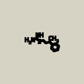 CC(CCSC(=N)N)c1ccccc1